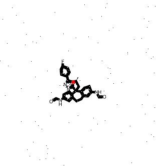 C[C@@H](N)CC1(c2nnc(-c3ccc(F)cc3)o2)c2ccc(NC=O)cc2CCc2cc(NC=O)ccc21